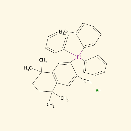 Cc1ccccc1[P+](c1ccccc1)(c1ccccc1)c1cc2c(cc1C)C(C)(C)CCC2(C)C.[Br-]